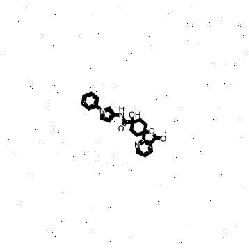 O=C1OC2(CCC(O)(C(=O)Nc3ccn(-c4ccccc4)c3)CC2)c2ncccc21